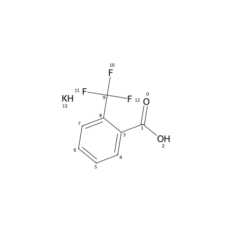 O=C(O)c1ccccc1C(F)(F)F.[KH]